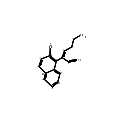 CCCC=C([C]=O)c1c(Cl)ccc2ccccc12